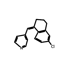 Clc1ccc2c(c1)CCC/C2=C/c1ccncc1